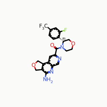 Nc1nc2cnc(C(=O)N3CCOC[C@H]3c3ccc(C(F)(F)F)cc3F)cc2c2c1COC2